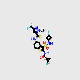 Cn1nc(C(F)F)cc1C(=S)N[C@H]1CCc2sc(NC(=O)[C@H]3C[C@@H]3F)c(S(=O)(=O)NC3CC(F)C3)c2C1